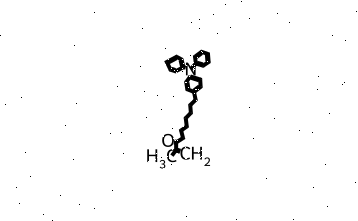 C=C(C)C(=O)CCCCCCCc1ccc(N(c2ccccc2)c2ccccc2)cc1